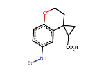 CCNc1ccc2c(c1)C1(CCO2)CC1C(=O)O